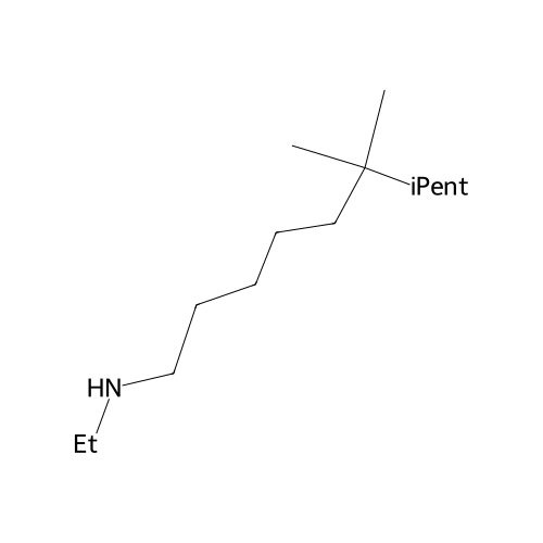 CCCC(C)C(C)(C)CCCCCNCC